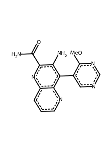 COc1ncncc1-c1c(N)c(C(N)=O)nc2cccnc12